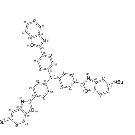 CC(C)(C)c1ccc2oc(-c3ccc(N(c4ccc(-c5nc6ccccc6o5)cc4)c4ccc(-c5nc6cc(C(C)(C)C)ccc6o5)cc4)cc3)nc2c1